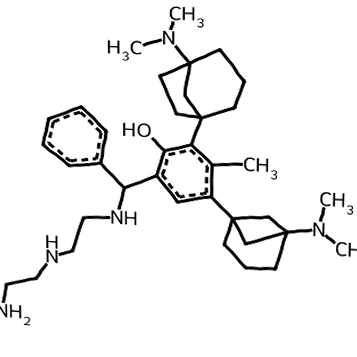 Cc1c(C23CCCC(N(C)C)(C2)C3)cc(C(NCCNCCN)c2ccccc2)c(O)c1C12CCCC(N(C)C)(CC1)C2